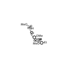 CCc1ccc(OC)c(S(=O)(=O)Nc2noc3cc(Cn4cc(CNS(=O)(=O)CCOC)cn4)cc(OC)c23)c1